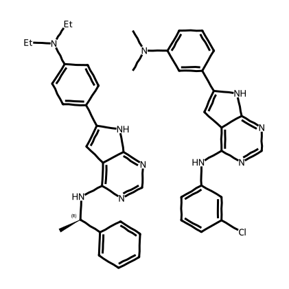 CCN(CC)c1ccc(-c2cc3c(N[C@H](C)c4ccccc4)ncnc3[nH]2)cc1.CN(C)c1cccc(-c2cc3c(Nc4cccc(Cl)c4)ncnc3[nH]2)c1